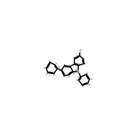 Ic1ccc2c(c1)c1cc(-c3ccccc3)ccc1n2-c1ccccc1